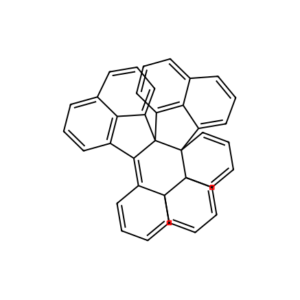 C1=CC2=C3c4cccc5cccc(c45)C34c3cccc5cccc(c35)C43C=CC=CC34C=CC=CC24C=C1